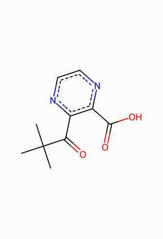 CC(C)(C)C(=O)c1nccnc1C(=O)O